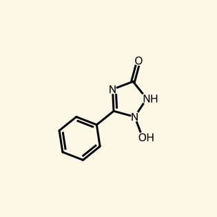 O=c1nc(-c2ccccc2)n(O)[nH]1